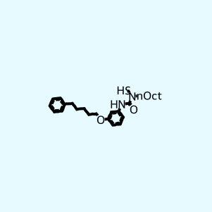 CCCCCCCCN(S)C(=O)Nc1cccc(OCCCCCc2ccccc2)c1